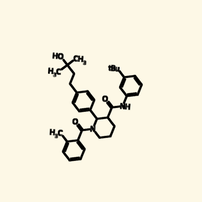 Cc1ccccc1C(=O)N1CCCC(C(=O)Nc2cccc(C(C)(C)C)c2)C1c1ccc(CCC(C)(C)O)cc1